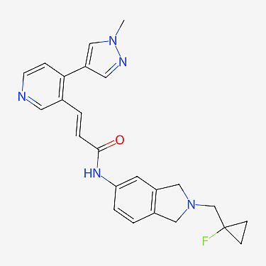 Cn1cc(-c2ccncc2C=CC(=O)Nc2ccc3c(c2)CN(CC2(F)CC2)C3)cn1